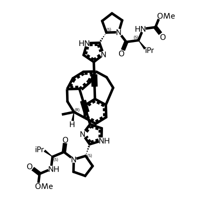 COC(=O)N[C@H](C(=O)N1CCC[C@H]1c1nc(C#Cc2cc3ccc2CCc2ccc(c(C#Cc4c[nH]c([C@@H]5CCCN5C(=O)[C@@H](NC(=O)OC)C(C)C)n4)c2)C[C@H]3C)c[nH]1)C(C)C